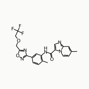 Cc1ccn2c(C(=O)Nc3cc(-c4noc(COCC(F)(F)F)n4)ccc3C)cnc2c1